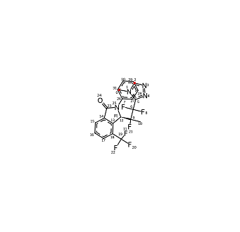 Cn1cnnc1C(F)(F)C(C)(F)[C@H]1c2c(cccc2C(F)(F)F)C(=O)N1c1ccccc1